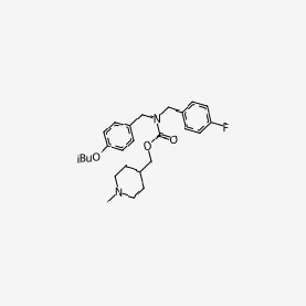 CC(C)COc1ccc(CN(Cc2ccc(F)cc2)C(=O)OCC2CCN(C)CC2)cc1